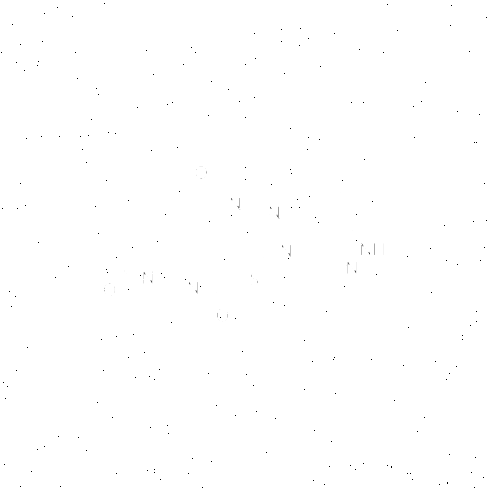 CC(=O)N1CCN(C(=O)c2cc3c(N4CCOCC4)nc(-c4cccc5[nH]ncc45)nc3s2)CC1